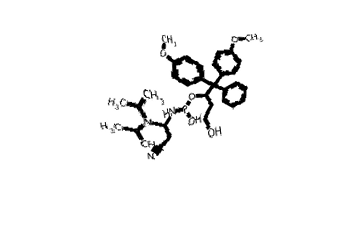 COc1ccc(C(c2ccccc2)(c2ccc(OC)cc2)C(CCO)OP(O)NC(CC#N)N(C(C)C)C(C)C)cc1